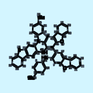 CC(C)(C)c1ccc(Nc2cc3oc4ccccc4c3cc2-c2c3c4c(c5cc(C(C)(C)C)ccc5n4-c4cc5sc6ccccc6c5cc4B3)c3c2oc2ccccc23)cc1